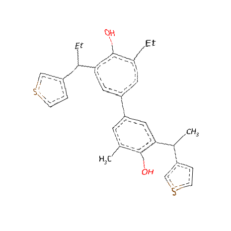 CCc1cc(-c2cc(C)c(O)c(C(C)c3ccsc3)c2)cc(C(CC)c2ccsc2)c1O